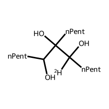 [2H]C(O)(CCCCC)C(O)(CCCCC)C(O)CCCCC